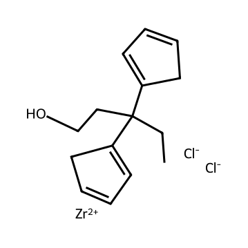 CCC(CCO)(C1=CC=CC1)C1=CC=CC1.[Cl-].[Cl-].[Zr+2]